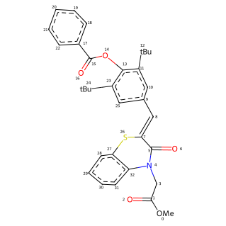 COC(=O)CN1C(=O)C(=Cc2cc(C(C)(C)C)c(OC(=O)c3ccccc3)c(C(C)(C)C)c2)Sc2ccccc21